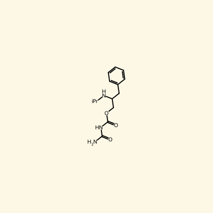 CC(C)NC(COC(=O)NC(N)=O)Cc1ccccc1